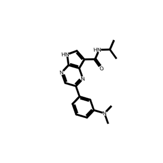 CC(C)NC(=O)c1c[nH]c2ncc(-c3cccc(N(C)C)c3)nc12